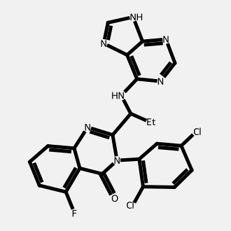 CCC(Nc1ncnc2[nH]cnc12)c1nc2cccc(F)c2c(=O)n1-c1cc(Cl)ccc1Cl